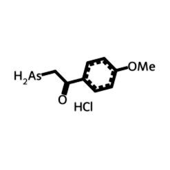 COc1ccc(C(=O)C[AsH2])cc1.Cl